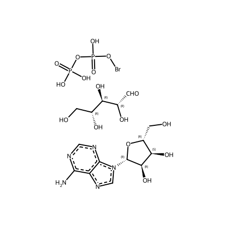 Nc1ncnc2c1ncn2[C@@H]1O[C@H](CO)[C@@H](O)[C@H]1O.O=C[C@H](O)[C@H](O)[C@H](O)CO.O=P(O)(O)OP(=O)(O)OBr